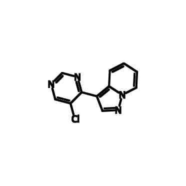 Clc1cncnc1-c1cnn2ccccc12